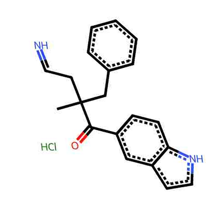 CC(CC=N)(Cc1ccccc1)C(=O)c1ccc2[nH]ccc2c1.Cl